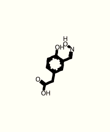 O=C(O)Cc1ccc(O)c(/C=N\O)c1